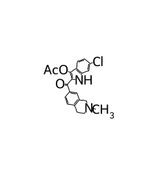 CC(=O)Oc1c(C(=O)c2ccc3c(c2)CN(C)CC3)[nH]c2cc(Cl)ccc12